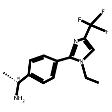 CCn1cc(C(F)(F)F)nc1-c1ccc([C@@H](C)N)cc1